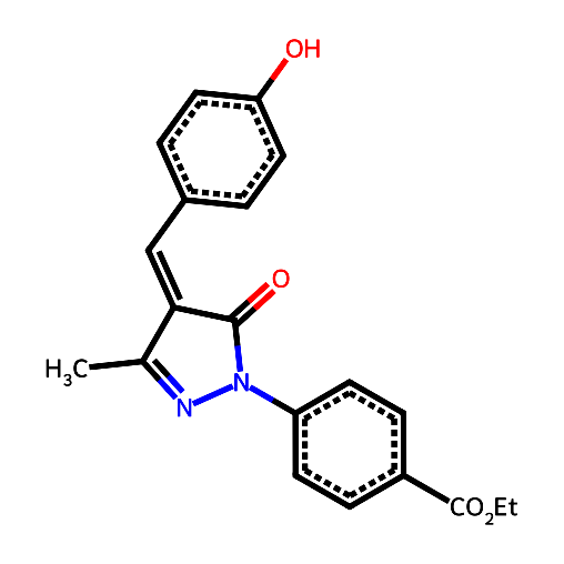 CCOC(=O)c1ccc(N2N=C(C)C(=Cc3ccc(O)cc3)C2=O)cc1